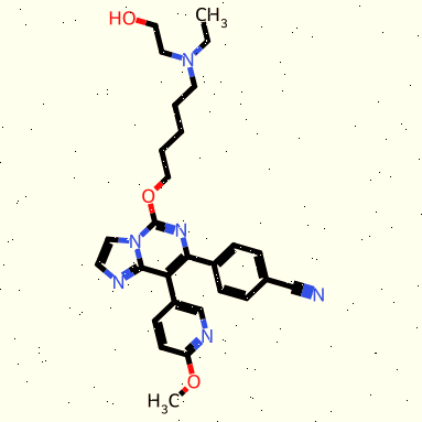 CCN(CCO)CCCCCOc1nc(-c2ccc(C#N)cc2)c(-c2ccc(OC)nc2)c2nccn12